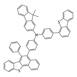 CC1(C)c2ccccc2-c2ccc(N(c3ccc(-c4c(-c5ccccc5)c5c6ccccc6sc5c5ccccc45)cc3)c3ccc(-c4cccc5c4sc4ccccc45)cc3)cc21